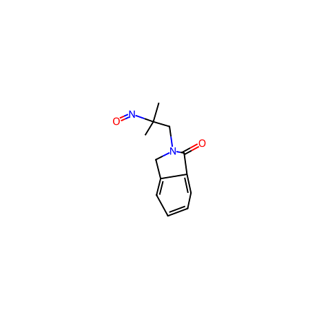 CC(C)(CN1Cc2ccccc2C1=O)N=O